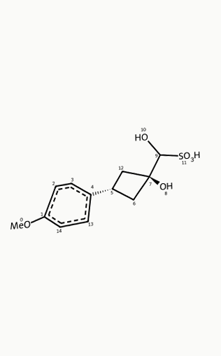 COc1ccc([C@H]2C[C@@](O)(C(O)S(=O)(=O)O)C2)cc1